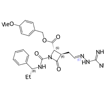 CC[C@@H](NC(=O)N1C(=O)[C@H](C/C=N/NC(=N)N)[C@H]1C(=O)OCc1ccc(OC)cc1)c1ccccc1